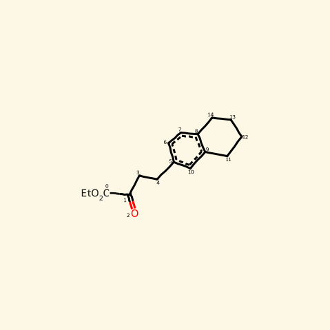 CCOC(=O)C(=O)CCc1ccc2c(c1)CCCC2